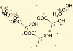 CC(O)C(=O)[O-].CC(O)C(=O)[O-].CC(O)C(=O)[O-].O.O.O.O.O.O.[La+3]